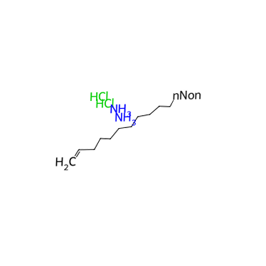 C=CCCCCCCCCCCCCCCCCCC.Cl.Cl.N.N